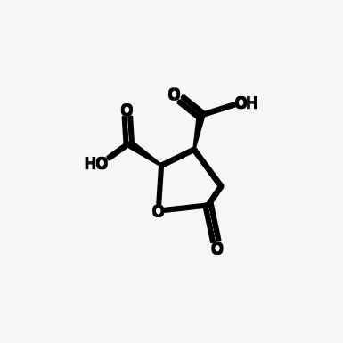 O=C1C[C@H](C(=O)O)[C@H](C(=O)O)O1